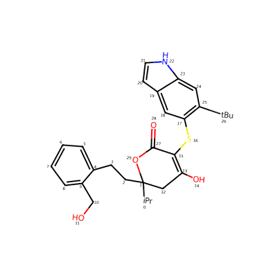 CC(C)C1(CCc2ccccc2CO)CC(O)=C(Sc2cc3cc[nH]c3cc2C(C)(C)C)C(=O)O1